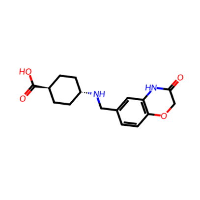 O=C1COc2ccc(CN[C@H]3CC[C@H](C(=O)O)CC3)cc2N1